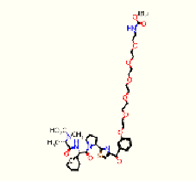 C[C@@H](C(=O)N[C@H](C(=O)N1CCC[C@H]1c1nc(C(=O)c2cccc(OCCOCCOCCOCCOCCOCCNC(=O)OC(C)(C)C)c2)cs1)C1CCCCC1)N(C)C(=O)O